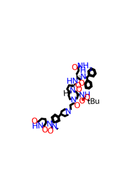 Cn1c(=O)n(C2CCC(=O)NC2=O)c2ccc(C3CCN(CCC(=O)N4CC[C@H]5CC[C@@H](C(=O)N[C@@H](CCC(N)=O)C(=O)NC(c6ccccc6)c6ccccc6)N5C(=O)[C@@H](NC(=O)OC(C)(C)C)C4)CC3)cc21